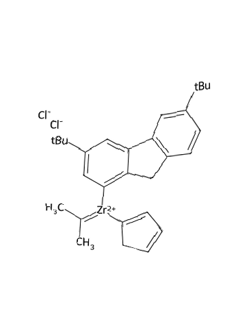 C[C](C)=[Zr+2]([C]1=CC=CC1)[c]1cc(C(C)(C)C)cc2c1Cc1ccc(C(C)(C)C)cc1-2.[Cl-].[Cl-]